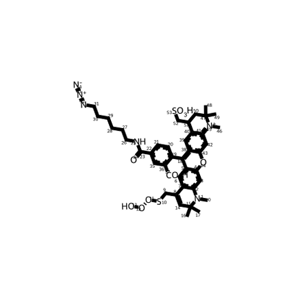 CN1c2cc3c(cc2C(CSOOO)=CC1(C)C)C(c1ccc(C(=O)NCCCCCCN=[N+]=[N-])cc1C(=O)O)=c1cc2c(cc1O3)=[N+](C)C(C)(C)CC2CS(=O)(=O)O